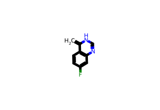 C=C1NC=Nc2cc(F)ccc21